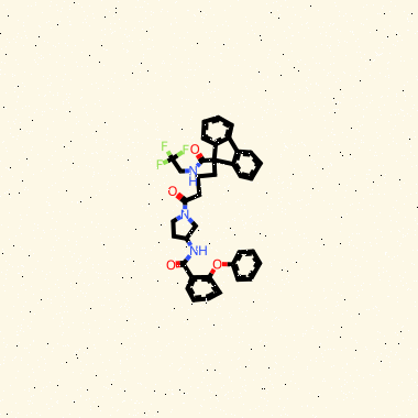 O=C(NC1CCN(C(=O)CCCC2(C(=O)NCC(F)(F)F)c3ccccc3-c3ccccc32)C1)c1ccccc1Oc1ccccc1